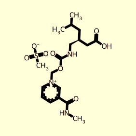 CNC(=O)c1ccc[n+](COC(=O)NC[C@H](CC(=O)O)CC(C)C)c1.CS(=O)(=O)[O-]